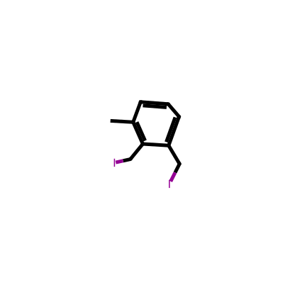 Cc1cccc(CI)c1CI